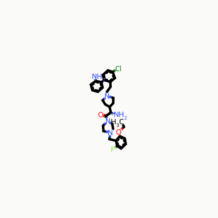 CCOc1cccc(F)c1CN1CCN(C(=O)[C@H](N)C2CCN(CCc3cc(Cl)ccc3-c3ccccc3N)CC2)CC1